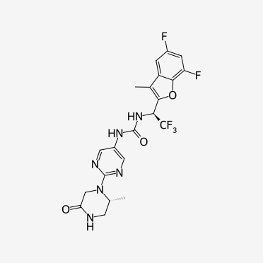 Cc1c([C@H](NC(=O)Nc2cnc(N3CC(=O)NC[C@H]3C)nc2)C(F)(F)F)oc2c(F)cc(F)cc12